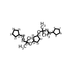 CC(C)(N=NC1CCCC1)OC1CCC(OC(C)(C)N=NC2CCCC2)C1